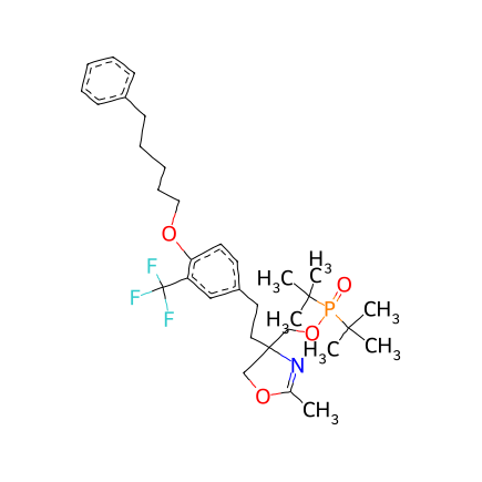 CC1=NC(CCc2ccc(OCCCCCc3ccccc3)c(C(F)(F)F)c2)(COP(=O)(C(C)(C)C)C(C)(C)C)CO1